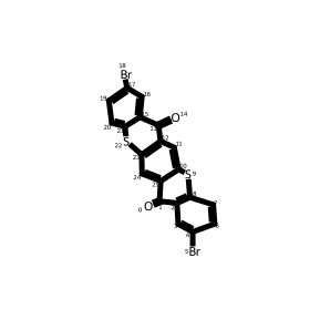 O=c1c2cc(Br)ccc2sc2cc3c(=O)c4cc(Br)ccc4sc3cc12